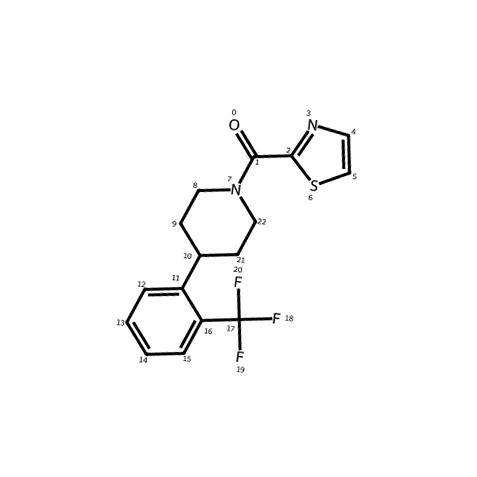 O=C(c1nccs1)N1CCC(c2ccccc2C(F)(F)F)CC1